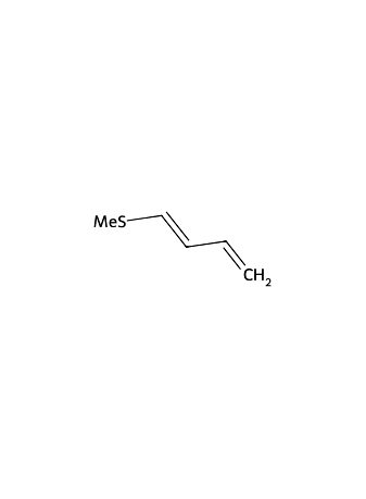 C=CC=CSC